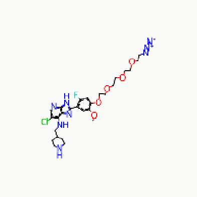 COc1cc(-c2nc3c(NCC4CCNCC4)c(Cl)cnc3[nH]2)c(F)cc1OCCOCCOCCOCCN=[N+]=[N-]